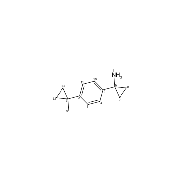 CC1(c2ccc(C3(N)CC3)cc2)CC1